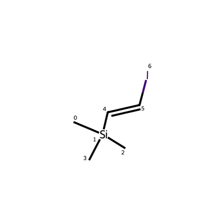 C[Si](C)(C)/C=C/I